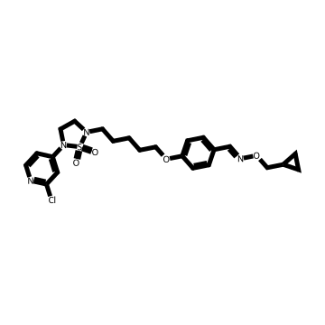 O=S1(=O)N(CCCCCOc2ccc(/C=N/OCC3CC3)cc2)CCN1c1ccnc(Cl)c1